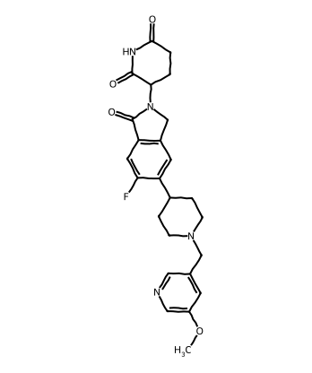 COc1cncc(CN2CCC(c3cc4c(cc3F)C(=O)N(C3CCC(=O)NC3=O)C4)CC2)c1